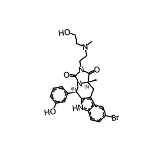 CN(CCO)CCN1C(=O)N2[C@H](c3cccc(O)c3)c3[nH]c4ccc(Br)cc4c3C[C@@]2(C)C1=O